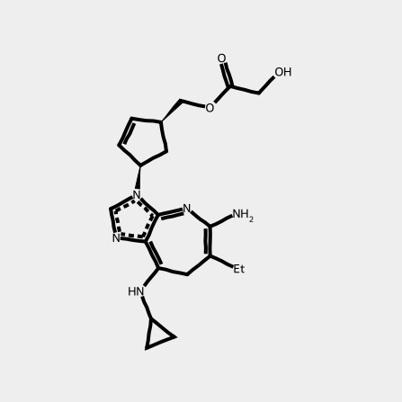 CCC1=C(N)N=c2c(ncn2[C@H]2C=C[C@@H](COC(=O)CO)C2)=C(NC2CC2)C1